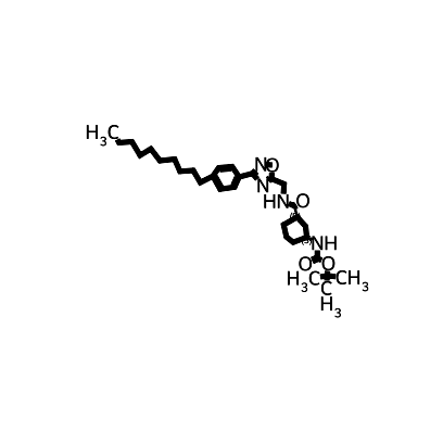 CCCCCCCCCCc1ccc(-c2noc(CNC(=O)[C@@H]3CCC[C@H](NC(=O)OC(C)(C)C)C3)n2)cc1